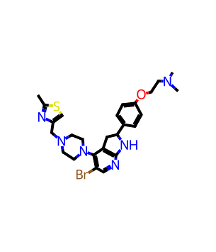 Cc1nc(CN2CCN(c3c(Br)cnc4c3CC(c3ccc(OCCN(C)C)cc3)N4)CC2)cs1